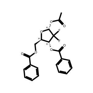 CC(=O)O[C@H]1O[C@H](COC(=O)c2ccccc2)[C@@H](OC(=O)c2ccccc2)C1(F)F